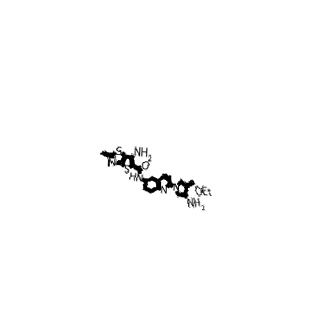 CCOCC1CN(c2ccc3c(n2)CCC(NC(=O)c2sc4nc(C)sc4c2N)C3)CC1N